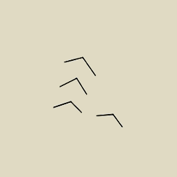 CCC.CCC.CCC.CCC